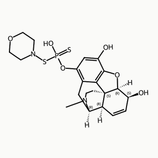 CN1CC[C@]23c4c5c(OP(O)(=S)SN6CCOCC6)cc(O)c4O[C@H]2[C@@H](O)C=C[C@H]3[C@H]1C5